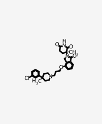 CC1(c2cccc(Cl)c2)CCN(CCCOc2cccc3c2CN([C@@]2(C)CCC(=O)NC2=O)C3=O)CC1